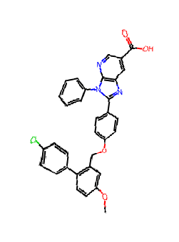 COc1ccc(-c2ccc(Cl)cc2)c(COc2ccc(-c3nc4cc(C(=O)O)cnc4n3-c3ccccc3)cc2)c1